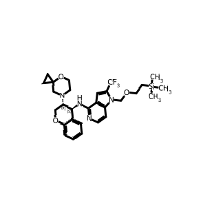 C[Si](C)(C)CCOCn1c(C(F)(F)F)cc2c(N[C@H]3c4ccccc4OC[C@@H]3N3CCOC4(CC4)C3)nccc21